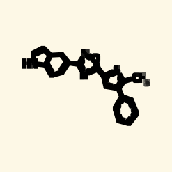 FC(F)(F)c1sc(-c2nc(C3=CC=C4NC=CC4C3)no2)cc1-c1ccccc1